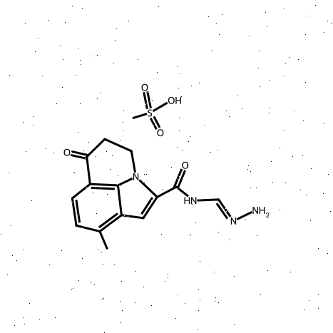 CS(=O)(=O)O.Cc1ccc2c3c1cc(C(=O)NC=NN)n3CCC2=O